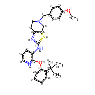 COc1ccc(CN2CCc3nc(Nc4cccnc4Oc4ccccc4C(C)(C)C)sc3C2)cc1